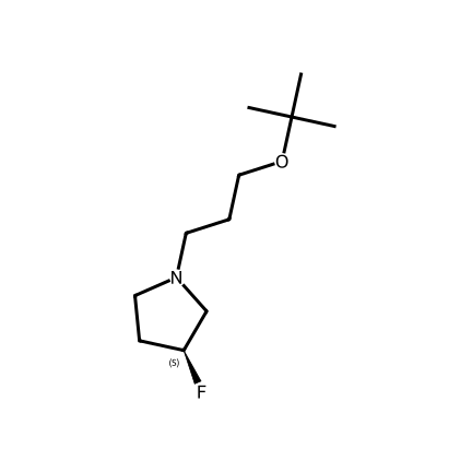 CC(C)(C)OCCCN1CC[C@H](F)C1